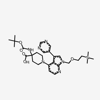 CC(C)(C)OC(=O)NC1(C(=O)O)CCN(c2ccnc3c2c(-c2cncnc2)cn3COCC[Si](C)(C)C)CC1